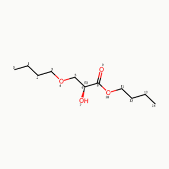 CCCCOC[C@H](O)C(=O)OCCCC